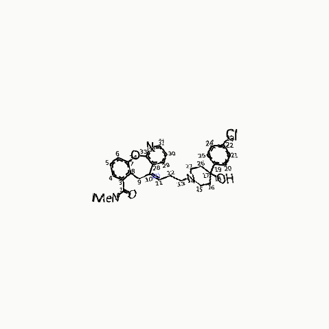 CNC(=O)c1cccc2c1C/C(=C/CCN1CCC(O)(c3ccc(Cl)cc3)CC1)c1cccnc1O2